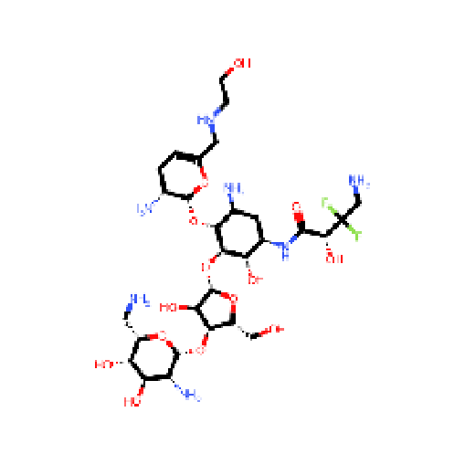 NC[C@@H]1O[C@H](O[C@H]2[C@@H](O)[C@H](O[C@@H]3[C@@H](O)[C@H](NC(=O)[C@@H](O)C(F)(F)CN)C[C@H](N)[C@H]3O[C@H]3OC(CNCCO)=CC[C@H]3N)O[C@@H]2CO)[C@H](N)[C@@H](O)[C@@H]1O